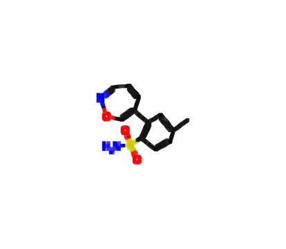 Cc1ccc(S(N)(=O)=O)c(C2=CON=CC=C2)c1